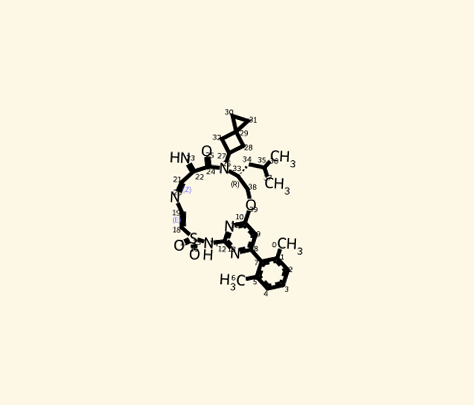 Cc1cccc(C)c1-c1cc2nc(n1)NS(=O)(=O)/C=C/N=C\C(=N)C(=O)N(C1CC3(CC3)C1)[C@H](CC(C)C)CO2